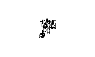 CC(=O)Nc1cc(Nc2cc(C)nc(C(C)(F)F)n2)c(OCC23COCC(C2)C3)cn1